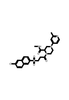 CNC(=O)C1CN(c2ccnc(C)c2)CCN1C(=O)CCS(=O)(=O)c1ccc2cc(Cl)ccc2c1